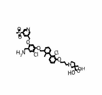 Cc1c(COc2cc(OCc3cncc(S(C)(=O)=O)c3)c(CN)cc2Cl)cccc1-c1cccc(OCCCN2CCC(CO)(C(=O)O)C2)c1Cl